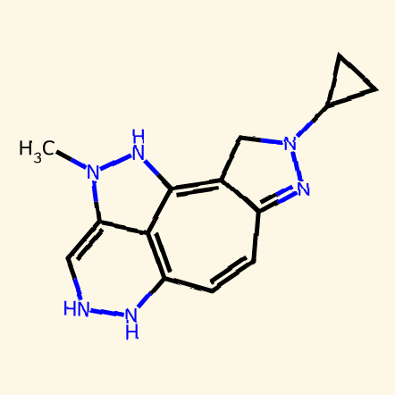 CN1NC2=C3CN(C4CC4)N=C3C=CC3=C2C1=CNN3